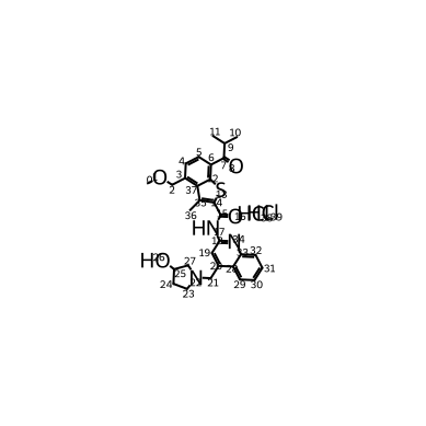 COCc1ccc(C(=O)C(C)C)c2sc(C(=O)Nc3cc(CN4CCC(O)C4)c4ccccc4n3)c(C)c12.Cl.Cl